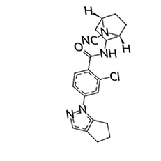 N#CN1[C@H]2CC[C@@H]1C(NC(=O)c1ccc(-n3ncc4c3CCC4)cc1Cl)C2